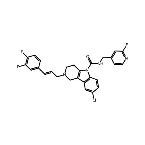 O=C(NCc1ccnc(F)c1)n1c2c(c3cc(Cl)ccc31)CN(CC=Cc1ccc(F)c(F)c1)CC2